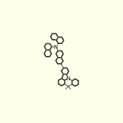 CC1(C)c2ccccc2-n2c3ccc(-c4ccc5cc(N(c6cccc7ccccc67)c6cccc7ccccc67)ccc5c4)cc3c3cccc1c32